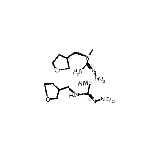 CN(CC1CCOC1)/C(N)=N/[N+](=O)[O-].CN/C(=N\[N+](=O)[O-])NCC1CCOC1